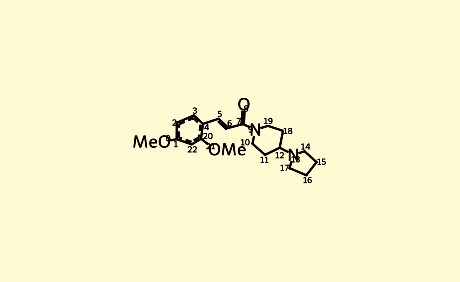 COc1ccc(C=CC(=O)N2CCC(N3CCCC3)CC2)c(OC)c1